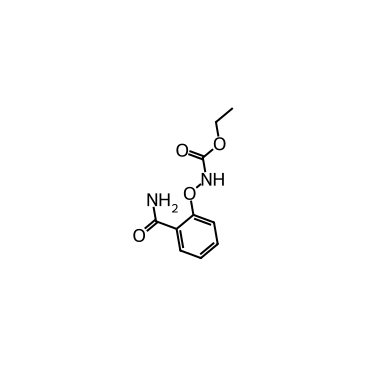 CCOC(=O)NOc1ccccc1C(N)=O